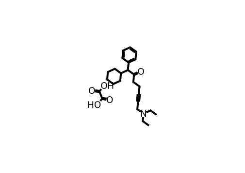 CCN(CC)CC#CCCC(=O)C(c1ccccc1)C1CCCCC1.O=C(O)C(=O)O